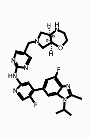 Cc1nc2c(F)cc(-c3cc(Nc4ncc(CN5C[C@@H]6OCCN[C@@H]6C5)cn4)ncc3F)cc2n1C(C)C